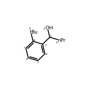 CCCC(O)c1ccccc1C(C)(C)C